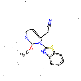 COC1N=CC=C(CC#N)N1c1nc2ccccc2s1